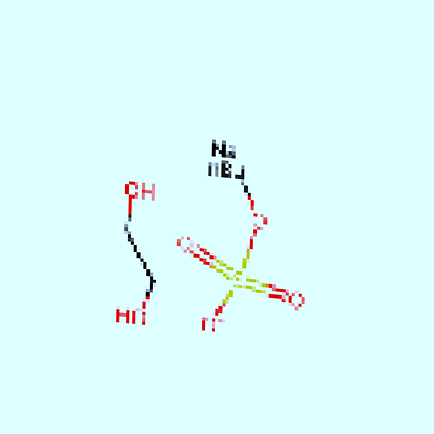 CCCCOS(=O)(=O)[O-].OCCO.[Na+]